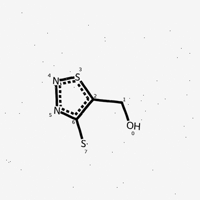 OCc1snnc1[S]